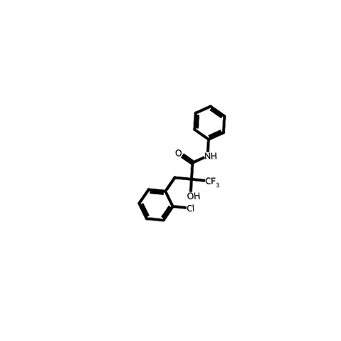 O=C(Nc1ccccc1)C(O)(Cc1ccccc1Cl)C(F)(F)F